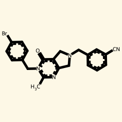 Cc1nc2c(c(=O)n1Cc1ccc(Br)cc1)CN(Cc1cccc(C#N)c1)C2